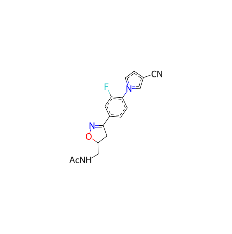 CC(=O)NCC1CC(c2ccc(-n3ccc(C#N)c3)c(F)c2)=NO1